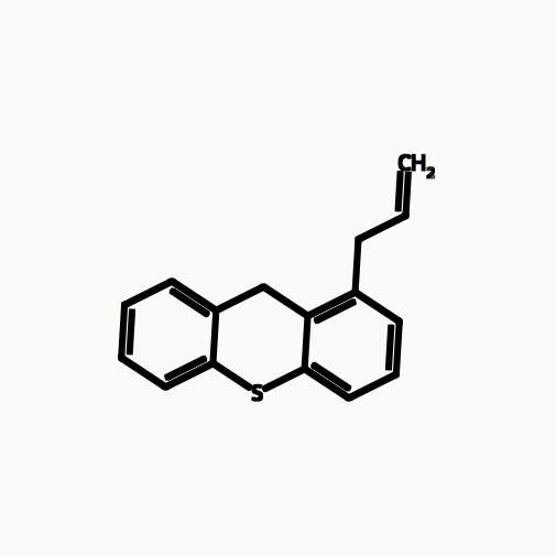 C=CCc1cccc2c1Cc1ccccc1S2